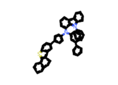 c1ccc(-c2cccc(N(c3ccc(-c4ccc5sc6c7ccccc7ccc6c5c4)cc3)c3cccc4c5ccccc5n(-c5ccccc5)c34)c2)cc1